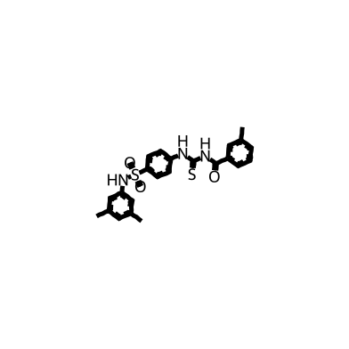 Cc1cc(C)cc(NS(=O)(=O)c2ccc(NC(=S)NC(=O)c3cccc(C)c3)cc2)c1